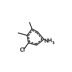 Cc1cccc(Cl)c1C.N